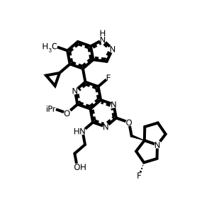 Cc1cc2[nH]ncc2c(-c2nc(OC(C)C)c3c(NCCO)nc(OC[C@@]45CCCN4C[C@H](F)C5)nc3c2F)c1C1CC1